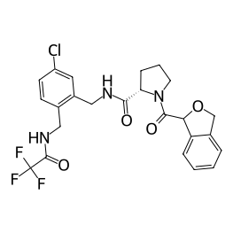 O=C(NCc1cc(Cl)ccc1CNC(=O)C(F)(F)F)[C@@H]1CCCN1C(=O)C1OCc2ccccc21